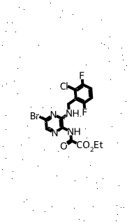 CCOC(=O)C(=O)Nc1ncc(Br)nc1NCc1c(F)ccc(F)c1Cl